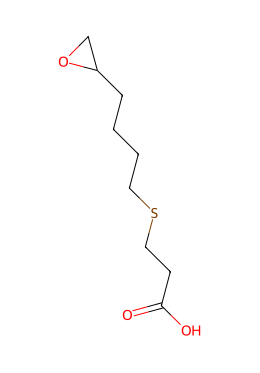 O=C(O)CCSCCCCC1CO1